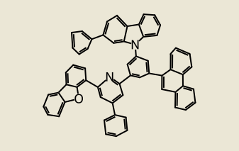 c1ccc(-c2cc(-c3cc(-c4cc5ccccc5c5ccccc45)cc(-n4c5ccccc5c5ccc(-c6ccccc6)cc54)c3)nc(-c3cccc4c3oc3ccccc34)c2)cc1